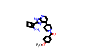 NC1C2C=CC(C2)C1c1nc2c(C3CCN(C(=O)c4ccc(OC(F)(F)F)cc4)CC3)ccnc2[nH]1